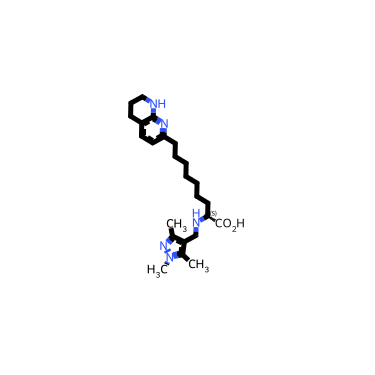 Cc1nn(C)c(C)c1CN[C@@H](CCCCCCCc1ccc2c(n1)NCCC2)C(=O)O